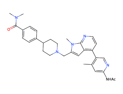 CC(=O)Nc1cc(C)c(-c2ccnc3c2cc(CN2CCC(c4ccc(C(=O)N(C)C)cc4)CC2)n3C)cn1